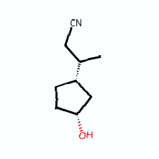 CC(CC#N)[C@H]1CC[C@@H](O)C1